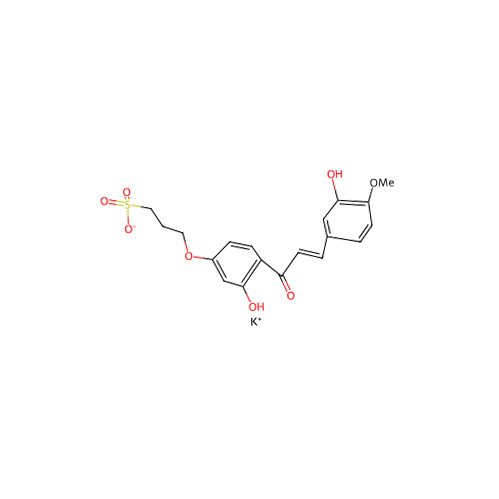 COc1ccc(C=CC(=O)c2ccc(OCCCS(=O)(=O)[O-])cc2O)cc1O.[K+]